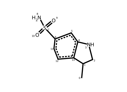 CC1CNc2cc(S(N)(=O)=O)ccc21